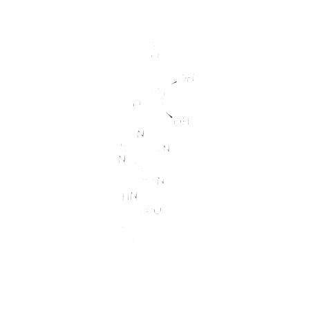 COC[C@H]1O[C@@H](n2cnc3c(NC(=O)C(C)C)ncnc32)[C@H](O)[C@@H]1O